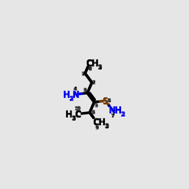 CCC/C(N)=C(\SN)C(C)C